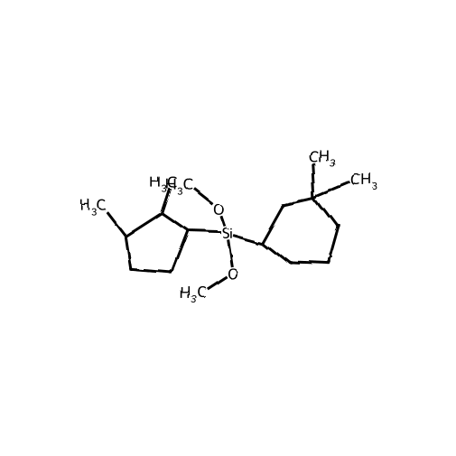 CO[Si](OC)(C1CCCC(C)(C)C1)C1CCC(C)C1C